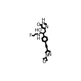 O=c1[nH]cnc(CC(CNCCF)c2ccc(C#Cc3cnn(C4COC4)c3)cc2)c1O